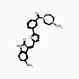 CN1CCCN(C(=O)c2cccc(-c3ccc(C=C4C(=O)Nc5ccc(N)cc54)o3)c2)CC1